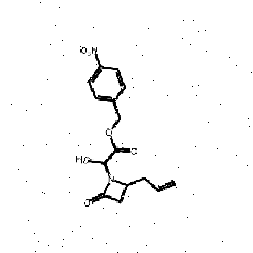 C=CCC1CC(=O)N1C(O)C(=O)OCc1ccc([N+](=O)[O-])cc1